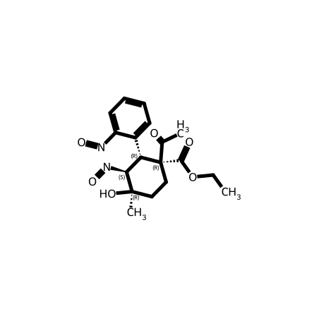 CCOC(=O)[C@]1(C(C)=O)CC[C@@](C)(O)[C@@H](N=O)[C@@H]1c1ccccc1N=O